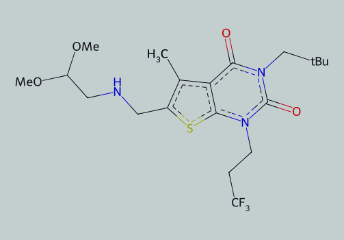 COC(CNCc1sc2c(c1C)c(=O)n(CC(C)(C)C)c(=O)n2CCC(F)(F)F)OC